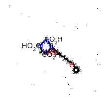 CC1CN(C(=O)O)CCN(C(=O)O)CCN(CC(O)CCCCCCCCCOCc2ccccc2)CCN1C(=O)O